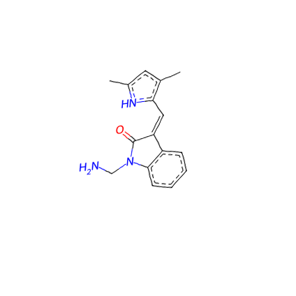 Cc1cc(C)c(/C=C2\C(=O)N(CN)c3ccccc32)[nH]1